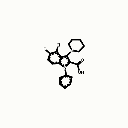 O=C(O)c1c(N2CCCCC2)c2c(Cl)c(F)ccc2n1-c1ccccc1